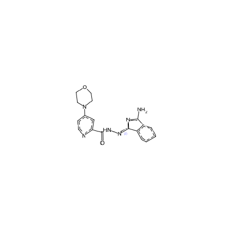 NC1=N/C(=N\NC(=O)c2cc(N3CCOCC3)ccn2)c2ccccc21